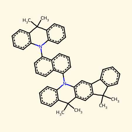 CC1(C)c2ccccc2-c2cc3c(cc21)C(C)(C)c1ccccc1N3c1cccc2c(N3c4ccccc4C(C)(C)c4ccccc43)cccc12